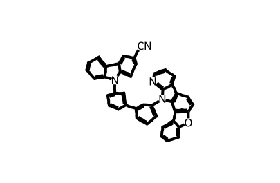 N#Cc1ccc2c(c1)c1ccccc1n2-c1cccc(-c2cccc(-n3c4ncccc4c4ccc5oc6ccccc6c5c43)c2)c1